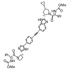 COC(=O)N[C@H](C(=O)N1CCC[C@H]1c1ncc(-c2ccc(C#Cc3ccc4nc([C@@H]5CC(C6CC6)CN5C(=O)[C@@H](NC(=O)OC)C(C)C)[nH]c4c3)cc2)[nH]1)C(C)C